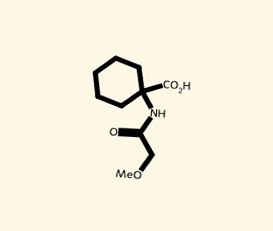 COCC(=O)NC1(C(=O)O)CCCCC1